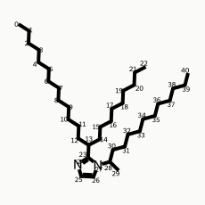 CCCCCCCCCCCCCC(CCCCCCCCC)c1nccn1C(C)CCCCCCCCCCC